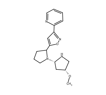 CO[C@H]1CN[C@@H](N2CCCC2c2cc(-c3ccccn3)no2)C1